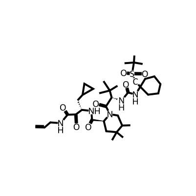 C=CCNC(=O)C(=O)[C@H](CC1CC1)NC(=O)[C@@H]1CC(C)(C)C(C)CN1C(=O)[C@@H](NC(=O)NC1(CS(=O)(=O)C(C)(C)C)CCCCC1)C(C)(C)C